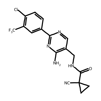 N#CC1(C(=O)NCc2cnc(-c3ccc(Cl)c(C(F)(F)F)c3)nc2N)CC1